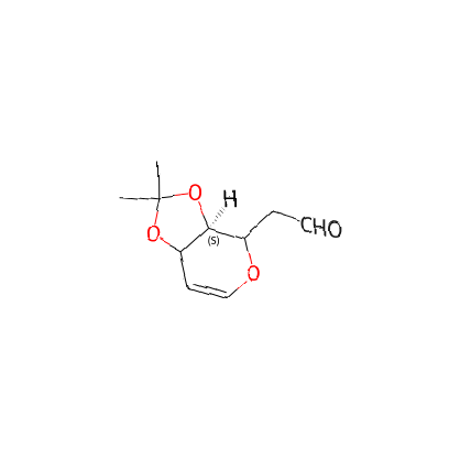 CC1(C)OC2C=COC(CC=O)[C@@H]2O1